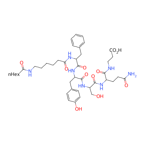 CCCCCCC(=O)NCCCCCC(=O)NC(Cc1ccccc1)C(=O)NC(Cc1ccc(O)cc1)C(=O)NC(CO)C(=O)NC(CCC(N)=O)C(=O)NCCC(=O)O